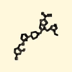 CCn1cncc1Cn1c(CN2CCC(c3cccc(OCc4ccc(Cl)cc4F)n3)CC2)cc2sc(C(=O)O)cc21